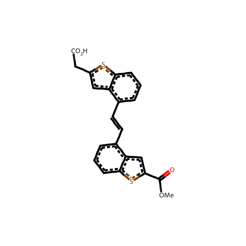 COC(=O)c1cc2c(C=Cc3cccc4sc(CC(=O)O)cc34)cccc2s1